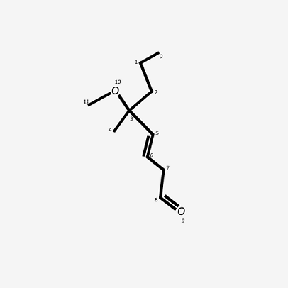 CCCC(C)(/C=C/CC=O)OC